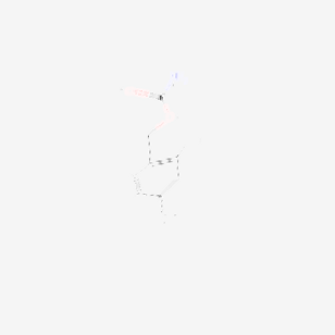 CCCCCCCCc1ccc(COC(N)=O)c(C(F)(F)F)c1